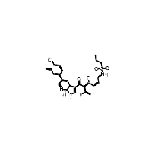 C=C/C=C(\C=C/CCl)C1=CC2C(C(=O)/C(C(=C)F)=C(F)/C=C\CNS(=O)(=O)CCC)=CN[C@H]2N=C1